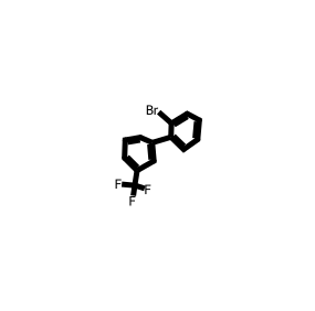 FC(F)(F)c1cccc(-c2ccccc2Br)c1